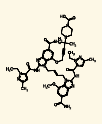 CCn1nc(C)cc1C(=O)Nc1nc2cc(C(N)=O)cc(OC)c2n1CC=CCn1c(NC(=O)c2cc(C)nn2CC)nc2cc(C(N)=O)cc(OCC#CC(C)(C)N3CCN(C(=O)O)CC3)c21